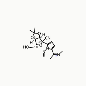 C=Nn1c(/C(C)=N\C)ccc1[C@]1(C#N)O[C@H](CO)[C@H]2OC(C)(C)O[C@H]21